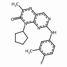 Cc1cc(Nc2ncc3nc(C)c(=O)n(C4CCCC4)c3n2)ccc1F